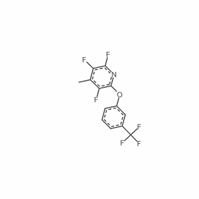 Cc1c(F)c(F)nc(Oc2cccc(C(F)(F)F)c2)c1F